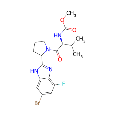 COC(=O)N[C@H](C(=O)N1CCC[C@H]1c1nc2c(F)cc(Br)cc2[nH]1)C(C)C